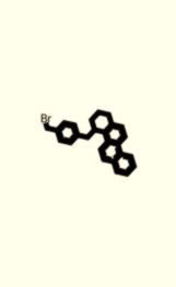 BrCc1ccc(CC2CCCc3ccc4c(ccc5ccccc54)c32)cc1